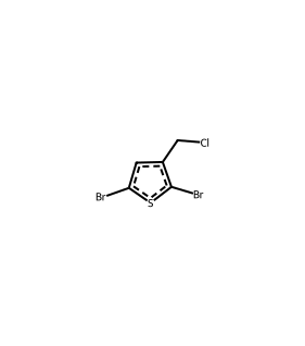 ClCc1cc(Br)sc1Br